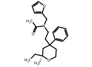 CC[C@@]1(C)CC(CCN(Cc2ccco2)C(C)=O)(c2ccccc2)CCO1